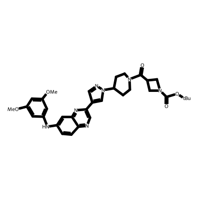 COc1cc(Nc2ccc3ncc(-c4cnn(C5CCN(C(=O)C6CN(C(=O)OC(C)(C)C)C6)CC5)c4)nc3c2)cc(OC)c1